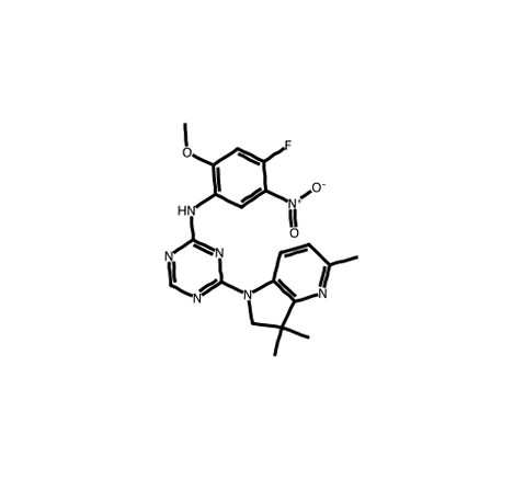 COc1cc(F)c([N+](=O)[O-])cc1Nc1ncnc(N2CC(C)(C)c3nc(C)ccc32)n1